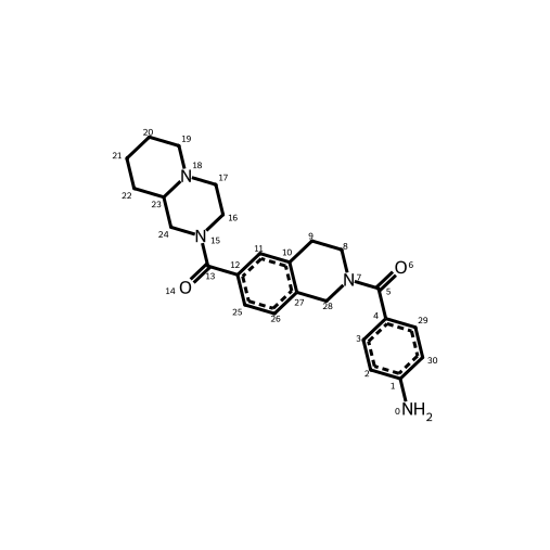 Nc1ccc(C(=O)N2CCc3cc(C(=O)N4CCN5CCCCC5C4)ccc3C2)cc1